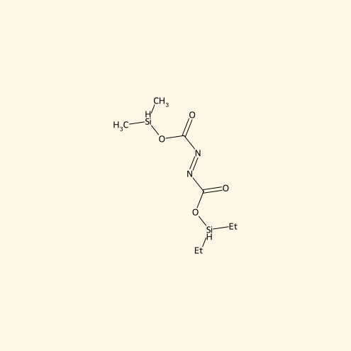 CC[SiH](CC)OC(=O)N=NC(=O)O[SiH](C)C